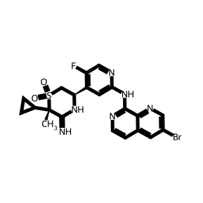 C[C@]1(C2CC2)C(=N)N[C@H](c2cc(Nc3nccc4cc(Br)cnc34)ncc2F)CS1(=O)=O